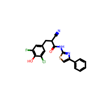 N#CC(Cc1cc(F)c(O)c(Cl)c1)C(=O)Nc1nc(-c2ccccc2)cs1